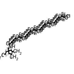 C=CCC(CC=C)(CC=C)CNC(=O)C(F)(F)C(F)(F)C(F)(F)OC(F)(F)C(F)(F)OC(F)(F)C(F)(F)C(F)(F)C(F)(F)OC(F)(F)C(F)(F)OC(F)(F)C(F)(F)C(F)(F)C(F)(F)OC(F)(F)C(F)(F)OC(F)(F)C(F)(F)C(F)(F)C(F)(F)OC(F)(F)C(F)(F)OC(F)(F)F